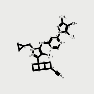 Cc1nn(-c2cc(Nc3c(C)c(C45C6C7C4C4C5C6C74C#N)nn3CC3CC3)ncn2)c(C)c1Cl